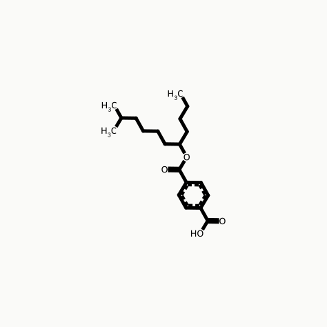 CCCCC(CCCCC(C)C)OC(=O)c1ccc(C(=O)O)cc1